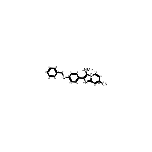 CNc1c(-c2ccc(OCc3ccccc3)cc2)nc2cc(C#N)ccn12